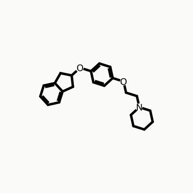 c1ccc2c(c1)CC(Oc1ccc(OCCN3CCCCC3)cc1)C2